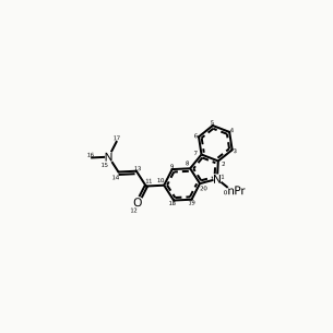 CCCn1c2ccccc2c2cc(C(=O)C=CN(C)C)ccc21